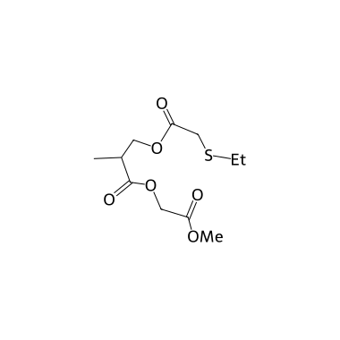 CCSCC(=O)OCC(C)C(=O)OCC(=O)OC